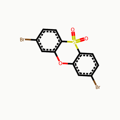 O=S1(=O)c2ccc(Br)cc2Oc2cc(Br)ccc21